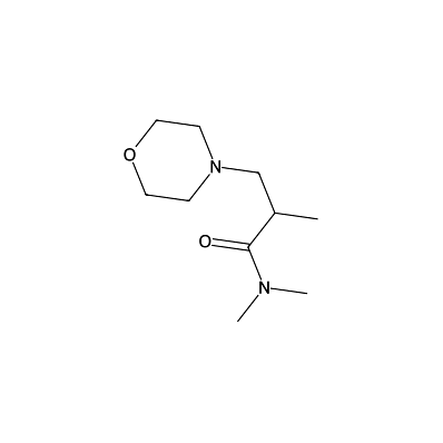 CC(CN1CCOCC1)C(=O)N(C)C